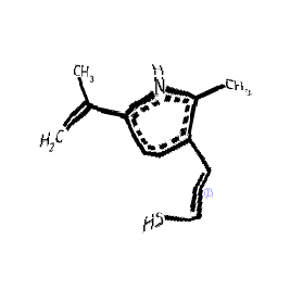 C=C(C)c1cc(/C=C\S)c(C)[nH]1